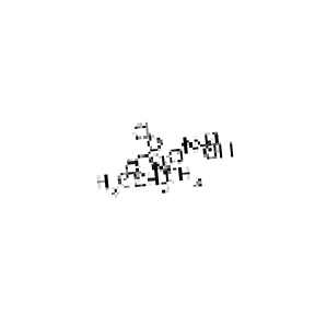 CC(=NOCC(Cc1ccc(C)c(C)c1)c1cccc(Cl)c1)c1ccc(CN2CC(C(=O)O)C2)cc1